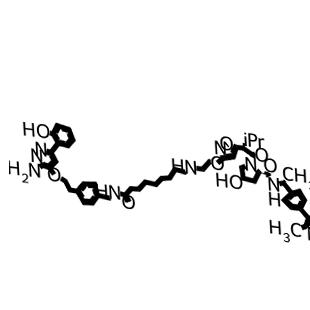 Cc1ncsc1-c1ccc([C@H](C)NC(=O)[C@@H]2C[C@@H](O)CN2C(=O)[C@@H](c2cc(OCCNCCCCCCCCC(=O)NCc3ccc(CCOc4cc(-c5ccccc5O)nnc4N)cc3)no2)C(C)C)cc1